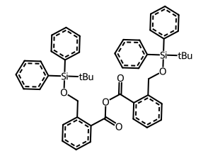 CC(C)(C)[Si](OCc1ccccc1C(=O)OC(=O)c1ccccc1CO[Si](c1ccccc1)(c1ccccc1)C(C)(C)C)(c1ccccc1)c1ccccc1